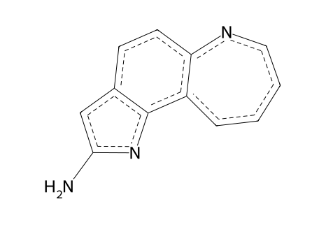 Nc1cc2ccc3nccccc3c2n1